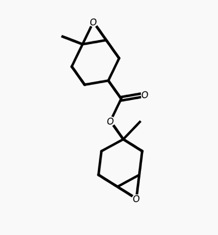 CC1(OC(=O)C2CCC3(C)OC3C2)CCC2OC2C1